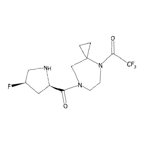 O=C([C@H]1C[C@@H](F)CN1)N1CCN(C(=O)C(F)(F)F)C2(CC2)C1